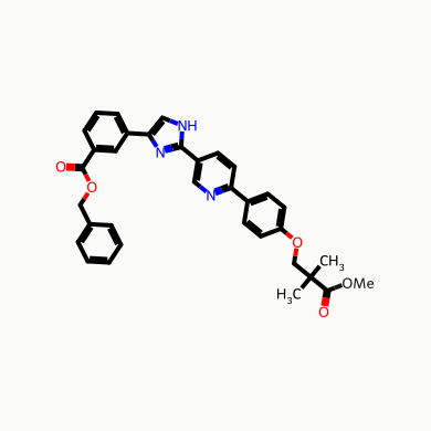 COC(=O)C(C)(C)COc1ccc(-c2ccc(-c3nc(-c4cccc(C(=O)OCc5ccccc5)c4)c[nH]3)cn2)cc1